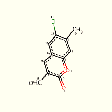 Cc1cc2oc(=O)c(C=O)cc2cc1Cl